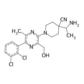 Cc1nc(N2CCC(C#N)(C(C)N)CC2)c(CO)nc1-c1cccc(Cl)c1Cl